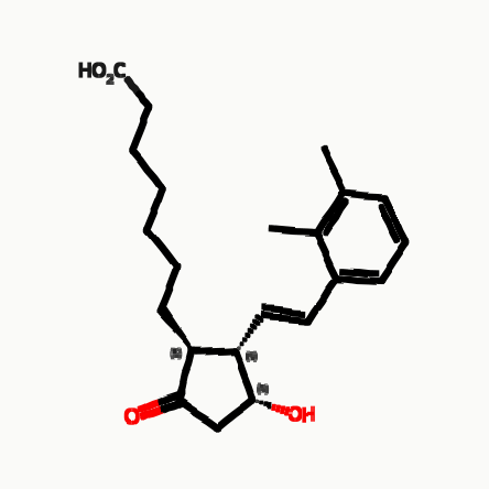 Cc1cccc(C=C[C@@H]2[C@H](O)CC(=O)[C@H]2CCCCCCC(=O)O)c1C